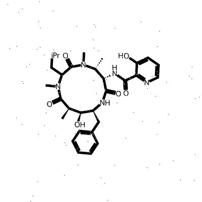 CC(C)CC1C(=O)N(C)[C@H](C)[C@H](NC(=O)c2ncccc2O)C(=O)N[C@@H](Cc2ccccc2)[C@@H](O)[C@@H](C)C(=O)N1C